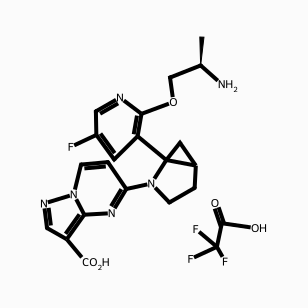 C[C@@H](N)COc1ncc(F)cc1C12CC1CCN2c1ccn2ncc(C(=O)O)c2n1.O=C(O)C(F)(F)F